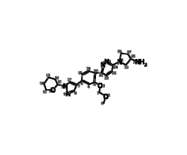 COCOc1cc(-c2cnn(C3CCCCO3)c2)ccc1-c1ccc(N2CCC(N)C2)nn1